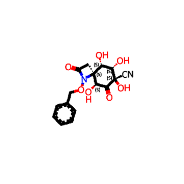 N#C[C@@]1(O)C(=O)[C@@H](O)[C@]2(CC(=O)N2OCc2ccccc2)[C@H](O)[C@@H]1O